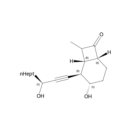 CCCCCCC[C@H](O)C#C[C@H]1[C@@H]2C(C)C(=O)[C@@H]2CC[C@@H]1O